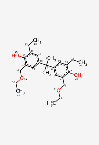 CCOCc1cc(C(C)(C)c2cc(CC)c(O)c(COCC)c2)cc(CC)c1O